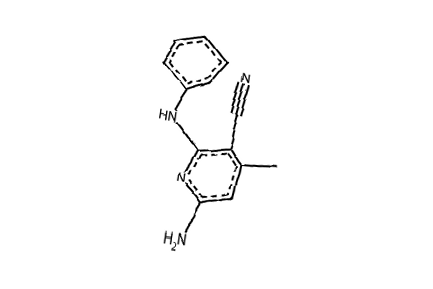 Cc1cc(N)nc(Nc2ccccc2)c1C#N